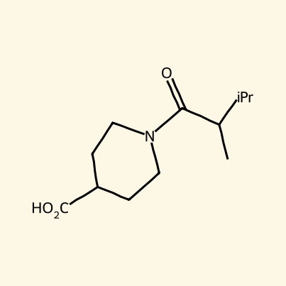 CC(C)C(C)C(=O)N1CCC(C(=O)O)CC1